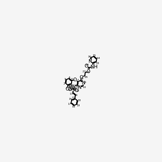 COc1cccc(Oc2c(NS(=O)(=O)C=Cc3ccccc3)ncnc2OCCOC(=O)Nc2ccccn2)c1